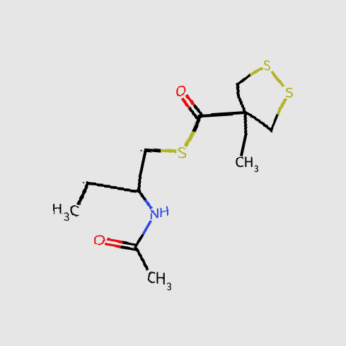 C[CH]C([CH]SC(=O)C1(C)CSSC1)NC(C)=O